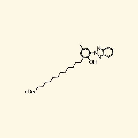 CCCCCCCCCCCCCCCCCCCCCCc1cc(C)cc(-n2nc3ccccc3n2)c1O